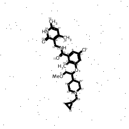 COCC(Oc1cc(Cl)cc(C(=O)NCc2c(C)cc(C)[nH]c2=O)c1C)C1CCN(CC2CC2)CC1